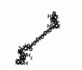 CC(c1ccc(C(=O)NCCOCCOCCOCCOCCOCCNc2cccc3c2C(=O)N(C2CCC(=O)NC2=O)C3)cc1)n1cc(-c2cc(-c3ccccc3O)nnc2N)cn1